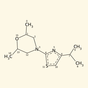 CC1CN(c2nc(C(C)C)cs2)CC(C)O1